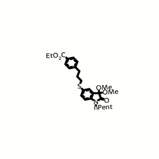 CCCCCN1C(=O)C(OC)(OC)c2cc(SCCCc3ccc(C(=O)OCC)cc3)ccc21